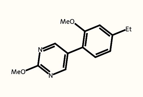 CCc1ccc(-c2cnc(OC)nc2)c(OC)c1